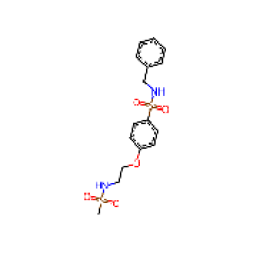 CS(=O)(=O)NCCOc1ccc(S(=O)(=O)NCc2ccccc2)cc1